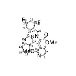 COC(=O)C1C(c2cccnc2OC)c2c(ccc3ccccc23)N1Cc1ccc(F)cc1F